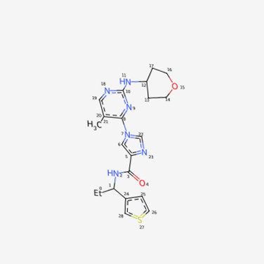 CCC(NC(=O)c1cn(-c2nc(NC3CCOCC3)ncc2C)cn1)c1ccsc1